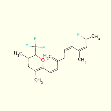 C=C(/C=C\C1=C(C)CC(C)C(C(F)(F)F)O1)C/C=C\C(C)=C/C(C)F